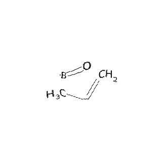 C=CC.[B]=O